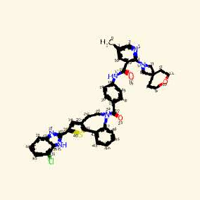 Cc1cnc(N2CC3(CCOCC3)C2)c(C(=O)Nc2ccc(C(=O)N3CCc4cc(-c5nc6cccc(Cl)c6[nH]5)sc4-c4ccccc43)cc2)c1